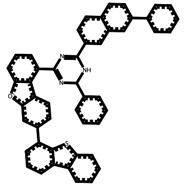 c1ccc(-c2ccc3ccc(C4=NC(c5cccc6oc7cc(-c8cccc9c8sc8ccccc89)ccc7c56)=NC(c5ccccc5)N4)cc3c2)cc1